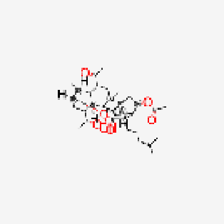 CC(=O)O[C@H]1C[C@@]2(C)[C@@H]3C[C@@H](O)C4[C@@]5(C)C(C(C)=O)C[C@@H](OC(=O)C(CCC=C(C)C)=C13)[C@@H](C)C5C(C(C)=O)C[C@]42C